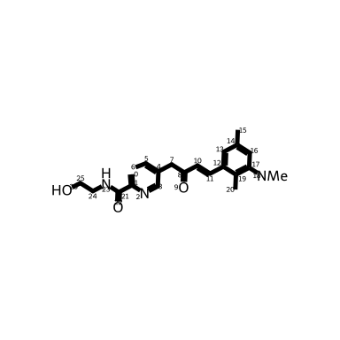 C=C(/N=C\C(=C/C)CC(=O)/C=C/c1cc(C)cc(NC)c1C)C(=O)NCCO